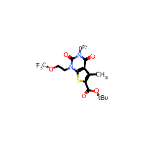 CCCn1c(=O)c2c(C)c(C(=O)OC(C)(C)C)sc2n(CCOC(F)(F)F)c1=O